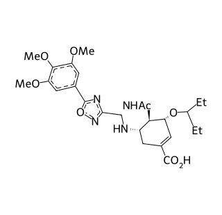 CCC(CC)O[C@@H]1C=C(C(=O)O)C[C@H](NCc2noc(-c3cc(OC)c(OC)c(OC)c3)n2)[C@H]1NC(C)=O